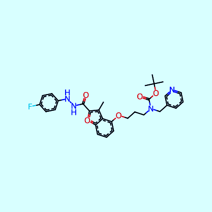 Cc1c(C(=O)NNc2ccc(F)cc2)oc2cccc(OCCCN(Cc3cccnc3)C(=O)OC(C)(C)C)c12